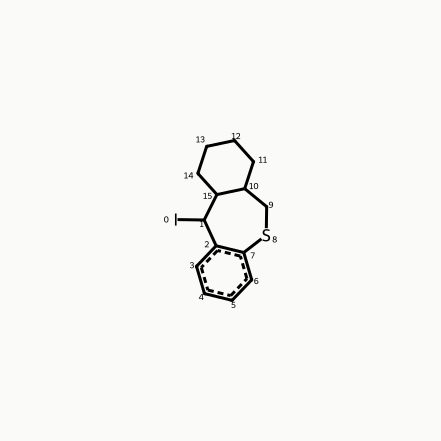 IC1c2ccccc2SCC2CCCCC21